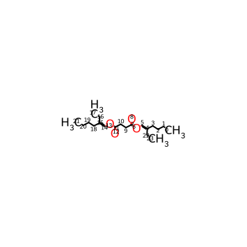 CCCC/C(=C/OC(=O)CCC(=O)O/C=C(\CC)CCCC)CC